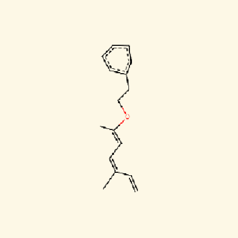 C=C/C(C)=C\C=C(/C)OCCc1ccccc1